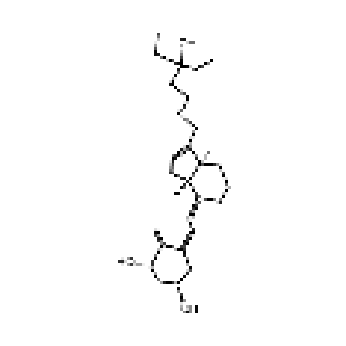 C=C1C(=CC=C2CCC[C@]3(C)C(CSCCC(O)(CC)CC)=CC[C@@H]23)C[C@@H](O)C[C@@H]1O